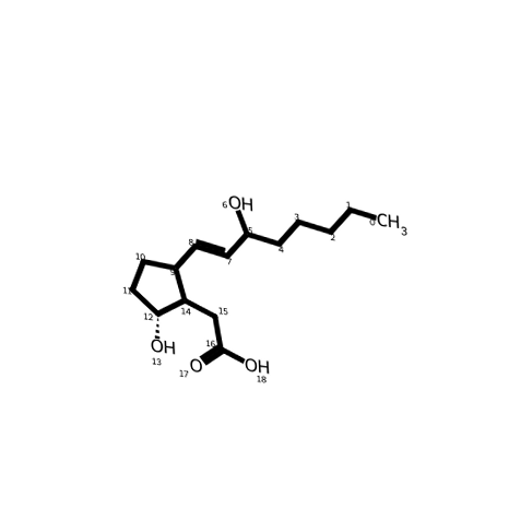 CCCCCC(O)/C=C/C1CC[C@@H](O)C1CC(=O)O